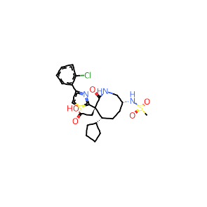 CS(=O)(=O)N[C@@H]1CC[C@H](C2CCCC2)[C@](CC(=O)O)(c2nc(-c3ccccc3Cl)cs2)C(=O)NC1